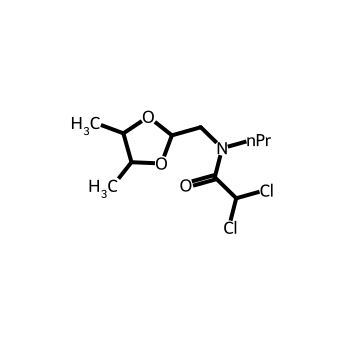 CCCN(CC1OC(C)C(C)O1)C(=O)C(Cl)Cl